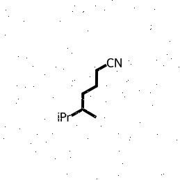 CC(C)C(C)CCCC#N